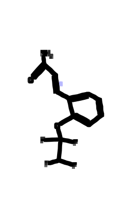 NC(=O)/C=C/c1ccccc1OC(F)(F)C(F)F